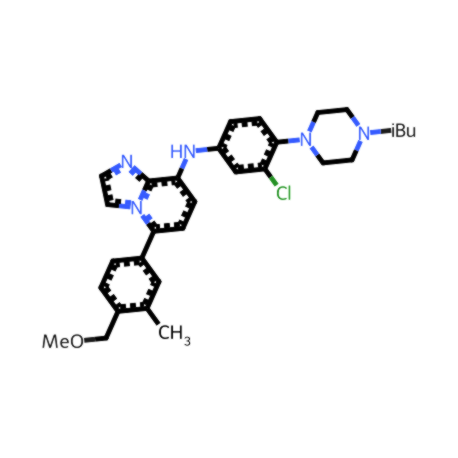 CCC(C)N1CCN(c2ccc(Nc3ccc(-c4ccc(COC)c(C)c4)n4ccnc34)cc2Cl)CC1